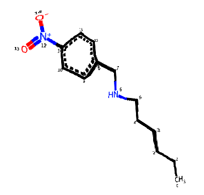 CCCCCCNCc1ccc([N+](=O)[O-])cc1